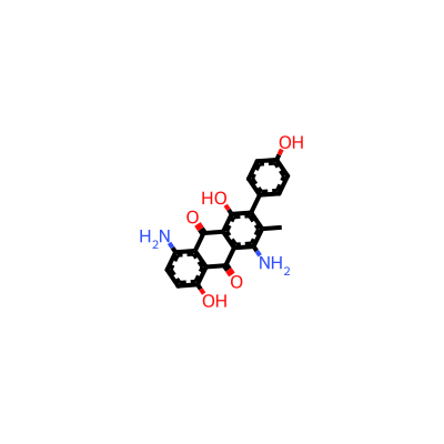 Cc1c(N)c2c(c(O)c1-c1ccc(O)cc1)C(=O)c1c(N)ccc(O)c1C2=O